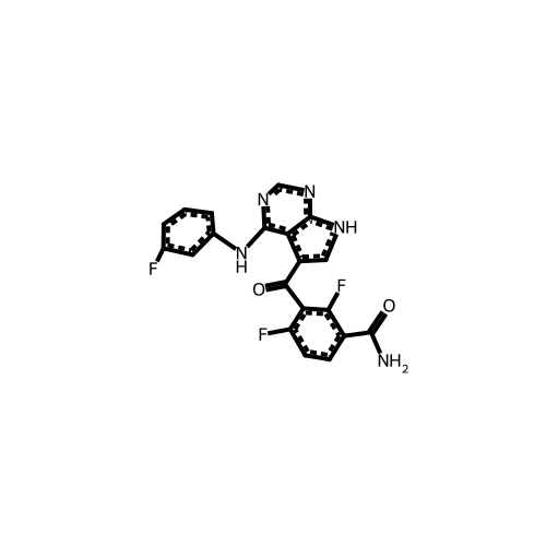 NC(=O)c1ccc(F)c(C(=O)c2c[nH]c3ncnc(Nc4cccc(F)c4)c23)c1F